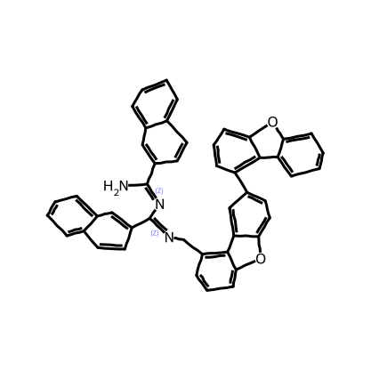 N/C(=N\C(=N/Cc1cccc2oc3ccc(-c4cccc5oc6ccccc6c45)cc3c12)c1ccc2ccccc2c1)c1ccc2ccccc2c1